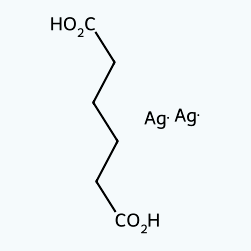 O=C(O)CCCCC(=O)O.[Ag].[Ag]